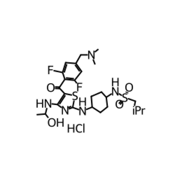 CC(C)CS(=O)(=O)NC1CCC(Nc2nc(NC(C)O)c(C(=O)c3c(F)cc(CN(C)C)cc3F)s2)CC1.Cl